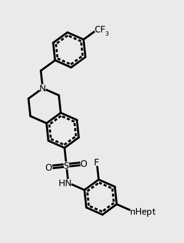 CCCCCCCc1ccc(NS(=O)(=O)c2ccc3c(c2)CCN(Cc2ccc(C(F)(F)F)cc2)C3)c(F)c1